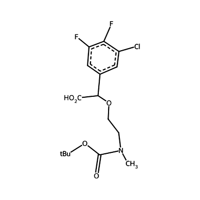 CN(CCOC(C(=O)O)c1cc(F)c(F)c(Cl)c1)C(=O)OC(C)(C)C